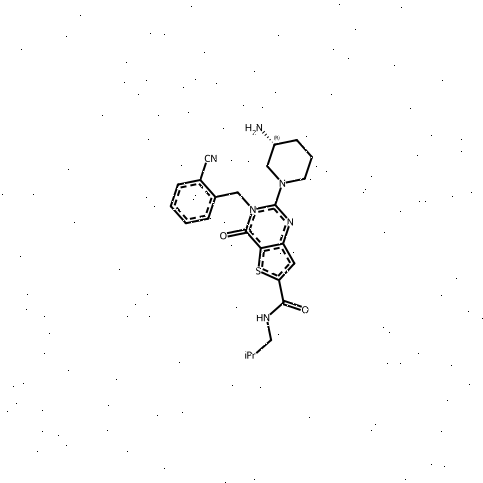 CC(C)CNC(=O)c1cc2nc(N3CCC[C@@H](N)C3)n(Cc3ccccc3C#N)c(=O)c2s1